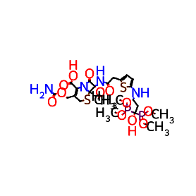 COP(OC)C(O)(CCNc1ccc(CC(=O)N[C@]2(OC)C(=O)N3C(C(=O)O)=C(COC(N)=O)CS[C@H]32)s1)P(OC)OC